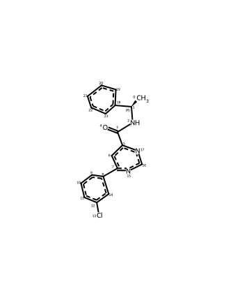 C[C@@H](NC(=O)c1cc(-c2cccc(Cl)c2)ncn1)c1ccccc1